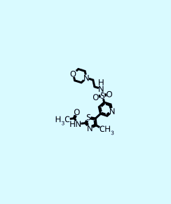 CC(=O)Nc1nc(C)c(-c2cncc(S(=O)(=O)NCCN3CCOCC3)c2)s1